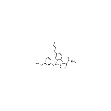 CCCCc1c[c]c2c3c(C(N)=O)cccc3n(Cc3cccc(OCC)c3)c2c1